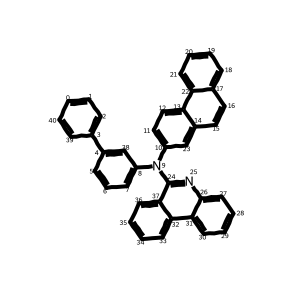 c1ccc(-c2cccc(N(c3ccc4c(ccc5ccccc54)c3)c3nc4ccccc4c4ccccc34)c2)cc1